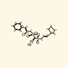 [N-]=[N+]=C(S(=O)(=O)CC=CC1CCCC1)S(=O)(=O)CC(Cl)=Cc1ccccc1